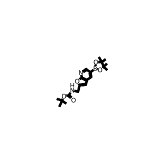 CC(C)(C)OC(=O)NCc1cc2cc(B3OC(C)(C)C(C)(C)O3)cnc2o1